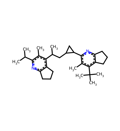 Cc1c(C(C)C)nc2c(c1C(C)CC1CC1c1nc3c(c(C(C)(C)C)c1C)CCC3)CCC2